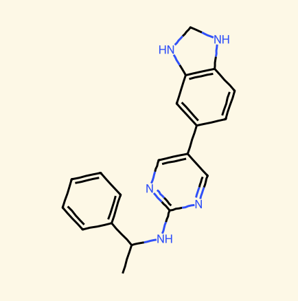 CC(Nc1ncc(-c2ccc3c(c2)NCN3)cn1)c1ccccc1